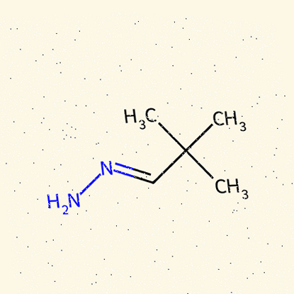 CC(C)(C)C=NN